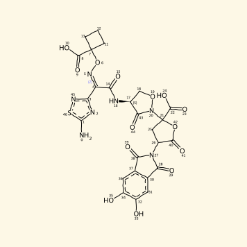 Nc1nc(/C(=N/OC2(C(=O)O)CCC2)C(=O)N[C@H]2CON(C3(C(=O)O)CC(N4C(=O)c5cc(O)c(O)cc5C4=O)C(=O)O3)C2=O)ns1